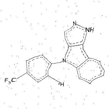 [2H]c1cc(C(F)(F)F)ccc1-n1c2ccccc2c2[nH]ncc21